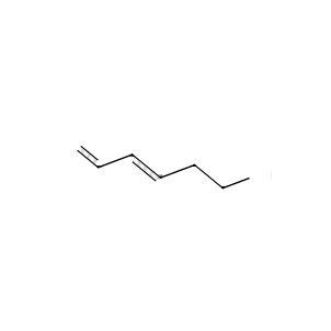 O=[C]C=CCCO